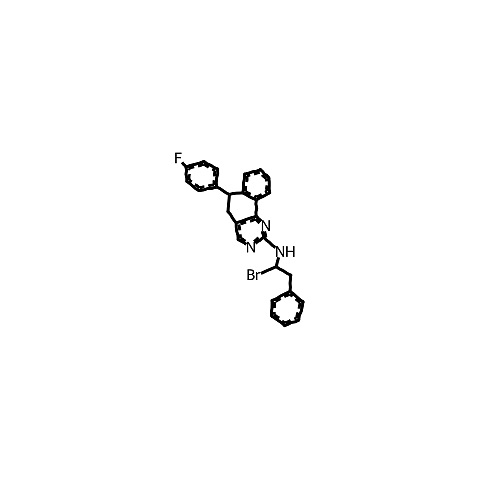 Fc1ccc(C2Cc3cnc(NC(Br)Cc4ccccc4)nc3-c3ccccc32)cc1